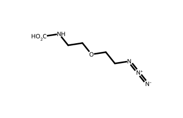 [N-]=[N+]=NCCOCCNC(=O)O